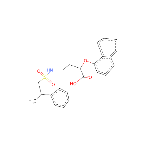 CC(CS(=O)(=O)NCCC(Oc1cccc2ccccc12)C(=O)O)c1ccccc1